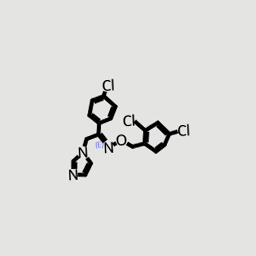 Clc1ccc(/C(Cn2ccnc2)=N\OCc2ccc(Cl)cc2Cl)cc1